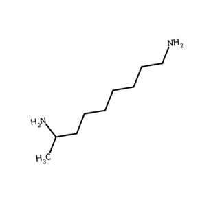 CC(N)CCCCCCCN